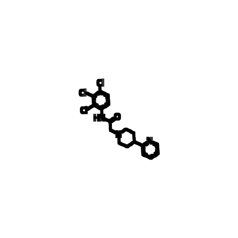 O=C(CN1CCC(c2ccccn2)CC1)Nc1ccc(Cl)c(Cl)c1Cl